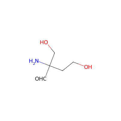 NC(C=O)(CO)CCO